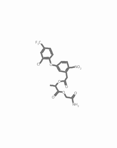 CC(OC(=O)Cc1cc(Oc2ccc(C(F)(F)F)cc2Cl)ccc1[N+](=O)[O-])C(=O)OCC(N)=O